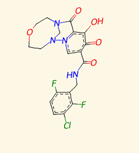 O=C(NCc1c(F)ccc(Cl)c1F)c1cn2c(c(O)c1=O)C(=O)N1CCOCCN2C1